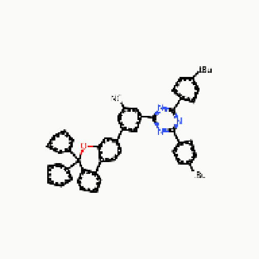 CC(C)(C)c1ccc(-c2nc(-c3ccc(C(C)(C)C)cc3)nc(-c3cc(C#N)cc(-c4ccc5c(c4)OC(c4ccccc4)(c4ccccc4)c4ccccc4-5)c3)n2)cc1